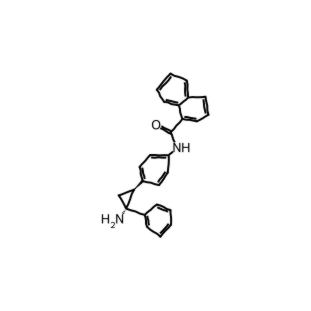 N[C@]1(c2ccccc2)C[C@H]1c1ccc(NC(=O)c2cccc3ccccc23)cc1